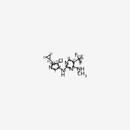 CNc1nc(Nc2cnn(C3CC3)c2Cl)ncc1C(F)(F)F